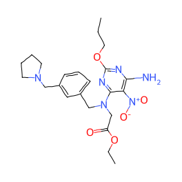 CCCOc1nc(N)c([N+](=O)[O-])c(N(CC(=O)OCC)Cc2cccc(CN3CCCC3)c2)n1